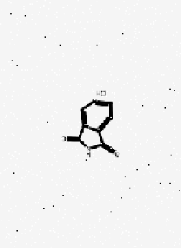 Cl.O=C1NC(=O)c2ccccc21